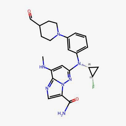 CNc1cc(N(c2cccc(N3CCC(C=O)CC3)c2)[C@@H]2C[C@@H]2F)nn2c(C(N)=O)cnc12